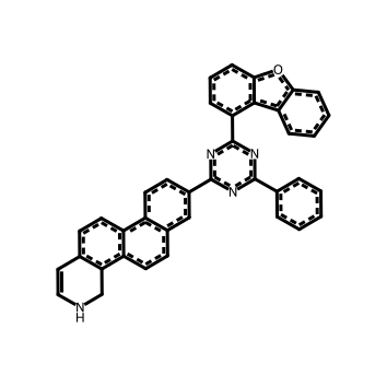 C1=Cc2ccc3c(ccc4cc(-c5nc(-c6ccccc6)nc(-c6cccc7oc8ccccc8c67)n5)ccc43)c2CN1